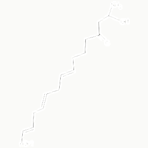 CCCCCCCCC=CCC=CCC=CCCCC(=O)CC(N)O